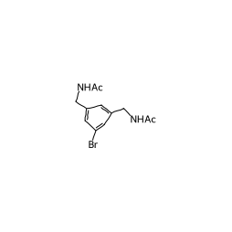 CC(=O)NCc1cc(Br)cc(CNC(C)=O)c1